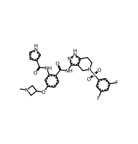 CN1CC(Oc2ccc(C(=O)Nc3n[nH]c4c3CN(S(=O)(=O)c3cc(F)cc(F)c3)CC4)c(NC(=O)c3cc[nH]c3)c2)C1